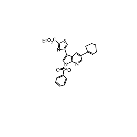 CCOC(=O)c1nc(-c2cn(S(=O)(=O)c3ccccc3)c3ncc(C4=CCCCC4)cc23)cs1